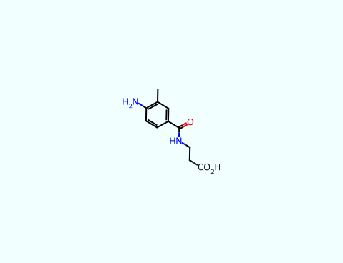 Cc1cc(C(=O)NCCC(=O)O)ccc1N